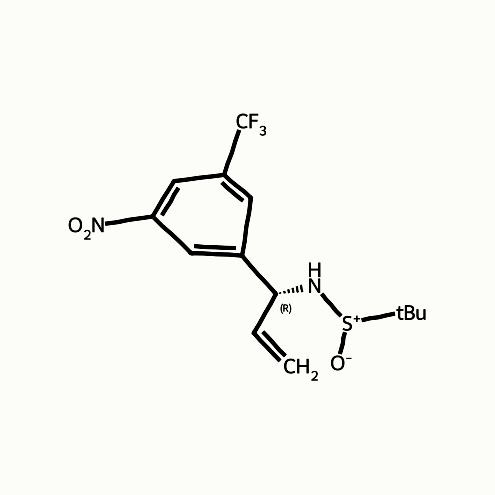 C=C[C@@H](N[S+]([O-])C(C)(C)C)c1cc([N+](=O)[O-])cc(C(F)(F)F)c1